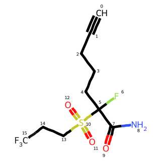 C#CCCCC(F)(C(N)=O)S(=O)(=O)CCC(F)(F)F